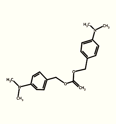 C=C(OCc1ccc(N(C)C)cc1)OCc1ccc(N(C)C)cc1